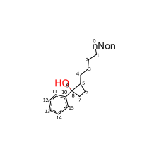 CCCCCCCCCCCCCC1CCC1(O)c1ccccc1